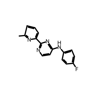 Cc1cccc(-c2nccc(Nc3ccc(F)cc3)n2)n1